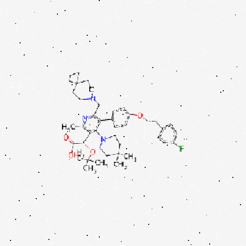 Cc1nc(CN2CCC3(CCC3)CC2)c(-c2ccc(OCCc3ccc(F)cc3)cc2)c(N2CCC(C)(C)CC2)c1[C@H](OC(C)(C)C)C(=O)O